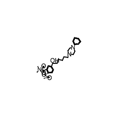 CN(C)S(=O)(=O)c1cc(C(O)CCCCCN2CCN(c3ccccc3)CC2)ccc1S(C)(=O)=O